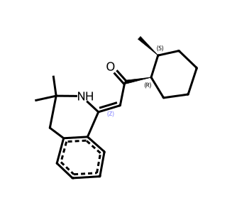 C[C@H]1CCCC[C@H]1C(=O)/C=C1\NC(C)(C)Cc2ccccc21